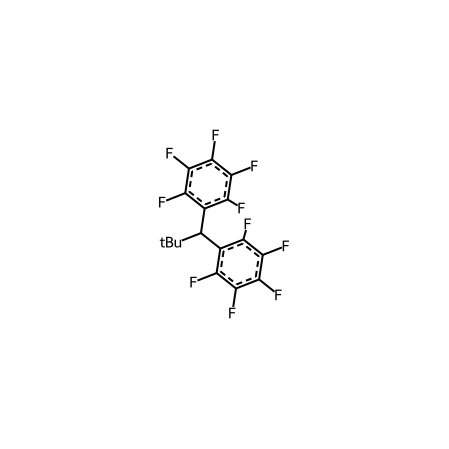 CC(C)(C)C(c1c(F)c(F)c(F)c(F)c1F)c1c(F)c(F)c(F)c(F)c1F